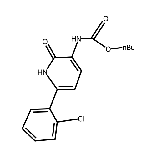 CCCCOC(=O)Nc1ccc(-c2ccccc2Cl)[nH]c1=O